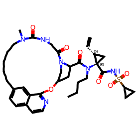 C=C[C@@H]1C[C@@]1(C(=O)NS(=O)(=O)C1CC1)N(CCCC)C(=O)C1CC2CN1C(=O)CNC(=O)N(C)CCCCCc1ccc3ccnc(c3c1)O2